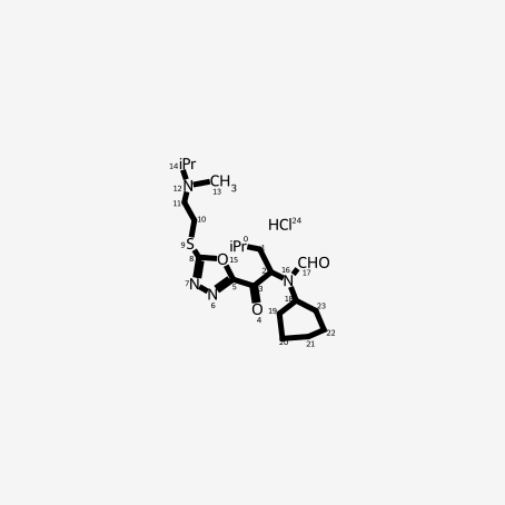 CC(C)CC(C(=O)c1nnc(SCCN(C)C(C)C)o1)N(C=O)C1CCCCC1.Cl